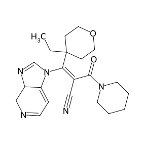 CCC1(C(=C(C#N)C(=O)N2CCCCC2)N2C=NC3CN=CC=C32)CCOCC1